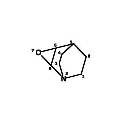 C1CN2CCC1C1OC12